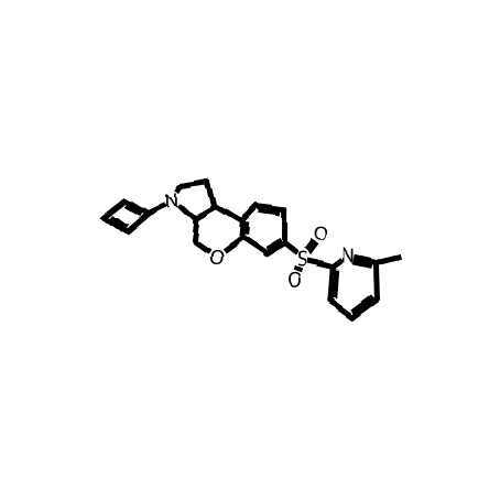 Cc1cccc(S(=O)(=O)c2ccc3c(c2)OCC2C3CCN2C2=CC=C2)n1